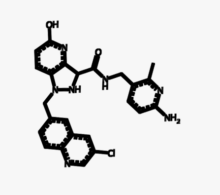 Cc1nc(N)ccc1CNC(=O)C1NN(Cc2ccc3ncc(Cl)cc3c2)c2ccc(O)nc21